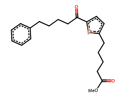 COC(=O)CCCCc1ccc(C(=O)CCCCc2ccccc2)s1